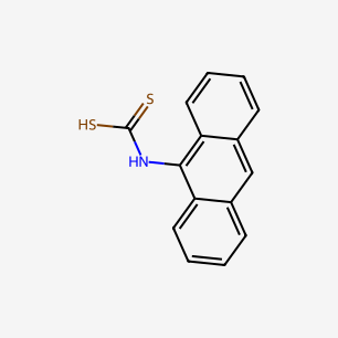 S=C(S)Nc1c2ccccc2cc2ccccc12